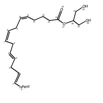 CCCCC/C=C/C/C=C/C/C=C\C/C=C\CCCC(=O)OC(CO)CO